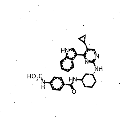 O=C(O)Nc1ccc(C(=O)NC2CCC[C@@H](Nc3ncc(C4CC4)c(-c4c[nH]c5ccccc45)n3)C2)cc1